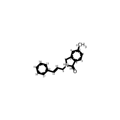 Cc1ccc2c(c1)CN(CC=Cc1ccccc1)C2=O